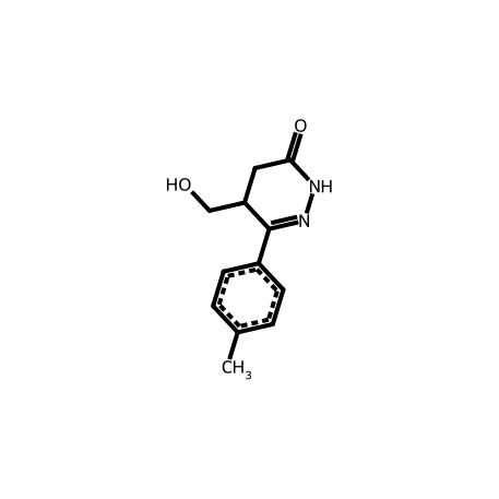 Cc1ccc(C2=NNC(=O)CC2CO)cc1